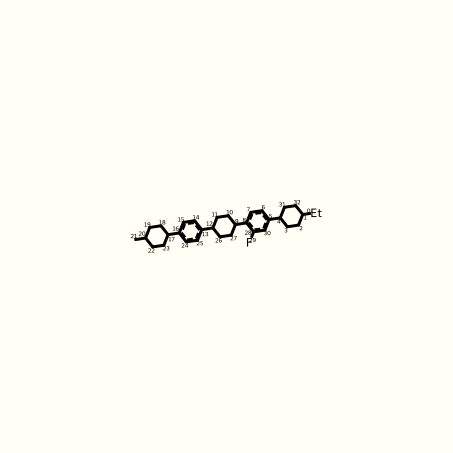 CCC1CCC(c2ccc(C3CCC(c4ccc(C5CCC(C)CC5)cc4)CC3)c(F)c2)CC1